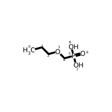 CCCOCP(=O)(O)O